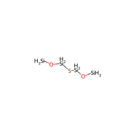 [SiH3]O[SiH2]S[SiH2]O[SiH3]